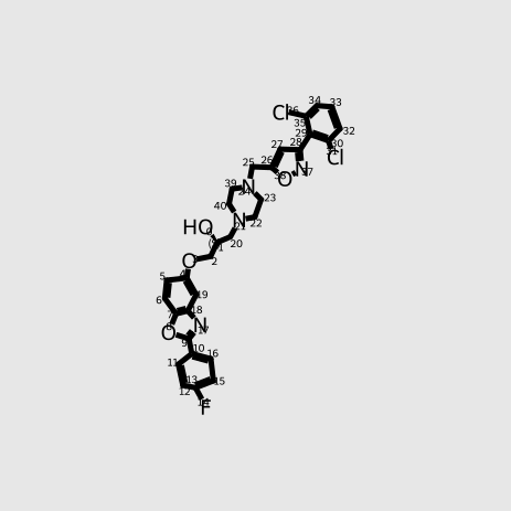 O[C@H](COc1ccc2oc(-c3ccc(F)cc3)nc2c1)CN1CCN(Cc2cc(-c3c(Cl)cccc3Cl)no2)CC1